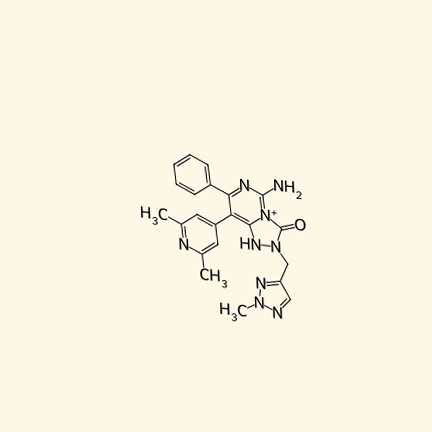 Cc1cc(-c2c(-c3ccccc3)nc(N)[n+]3c(=O)n(Cc4cnn(C)n4)[nH]c23)cc(C)n1